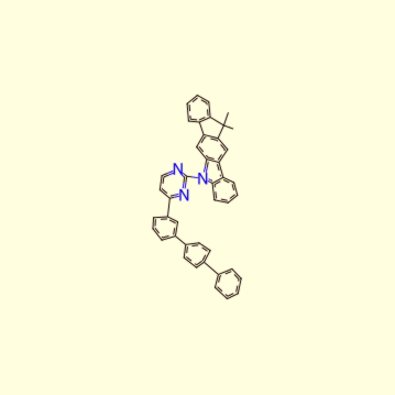 CC1(C)c2ccccc2-c2cc3c(cc21)c1ccccc1n3-c1nccc(-c2cccc(-c3ccc(-c4ccccc4)cc3)c2)n1